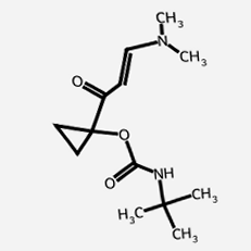 CN(C)/C=C/C(=O)C1(OC(=O)NC(C)(C)C)CC1